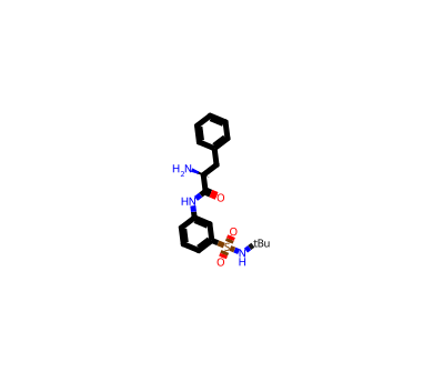 CC(C)(C)NS(=O)(=O)c1cccc(NC(=O)[C@@H](N)Cc2ccccc2)c1